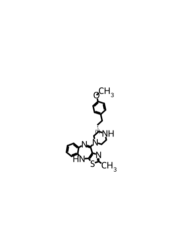 COc1ccc(CC[C@H]2CN(C3=Nc4ccccc4Nc4sc(C)nc43)CCN2)cc1